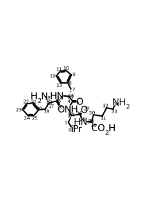 CC(C)C[C@@H](NC(=O)[C@@H](Cc1ccccc1)NC(=O)[C@@H](N)Cc1ccccc1)C(=O)N[C@H](CCCCN)C(=O)O